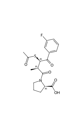 CC(=O)S[C@@H](C(=O)c1cccc(F)c1)[C@H](C)C(=O)N1CCC[C@@H]1C(=O)O